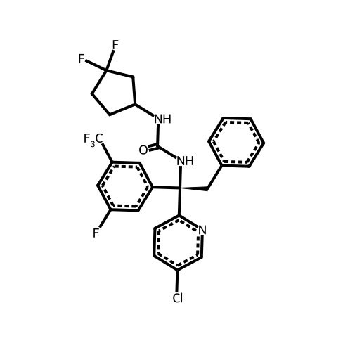 O=C(NC1CCC(F)(F)C1)N[C@@](Cc1ccccc1)(c1cc(F)cc(C(F)(F)F)c1)c1ccc(Cl)cn1